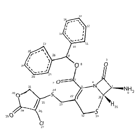 N[C@@H]1C(=O)N2C(C(=O)OC(c3ccccc3)c3ccccc3)=C(CSC3=C(Cl)C(=O)OC3)CS[C@@H]12